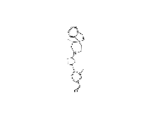 Cc1cc(C=O)ccc1C1CCC(N2CCC3(C=Cc4ccccc43)[C@@H](C)C2)C1